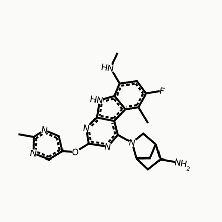 CNc1cc(F)c(C)c2c1[nH]c1nc(Oc3cnc(C)nc3)nc(N3CC4CC3CC4N)c12